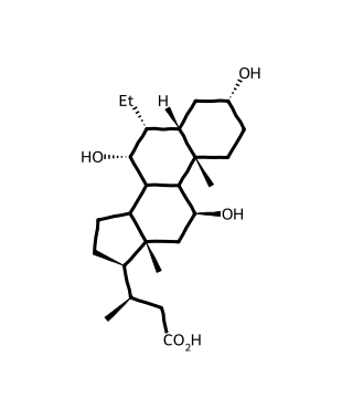 CC[C@H]1[C@@H](O)C2C3CC[C@H]([C@H](C)CC(=O)O)[C@@]3(C)C[C@H](O)C2[C@@]2(C)CC[C@@H](O)C[C@@H]12